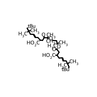 CC(C)(C)CC(C)(C)C/C=C/CC(CC(=O)OC(C)(C)CCOC(C)(C)C(=O)CC(C/C=C/CC(C)(C)CC(C)(C)C)C(=O)O)C(=O)O